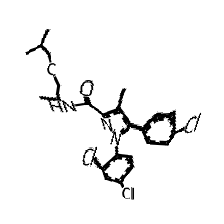 Cc1c(C(=O)NC(C)CCCC(C)C)nn(-c2ccc(Cl)cc2Cl)c1-c1ccc(Cl)cc1